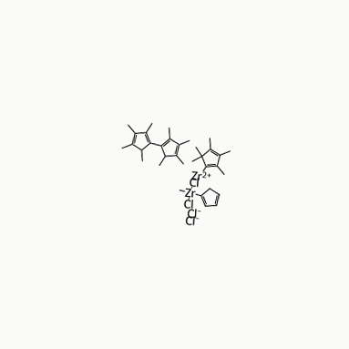 CC1=C(C)C(C)(C)[C]([Zr+2])=C1C.CC1=C(C)C(C)C(C2=C(C)C(C)=C(C)C2C)=C1C.[CH3][Zr]([Cl])([Cl])[C]1=CC=CC1.[Cl-].[Cl-]